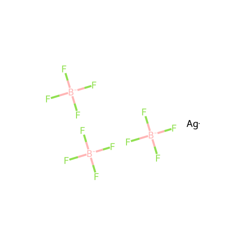 F[B-](F)(F)F.F[B-](F)(F)F.F[B-](F)(F)F.[Ag]